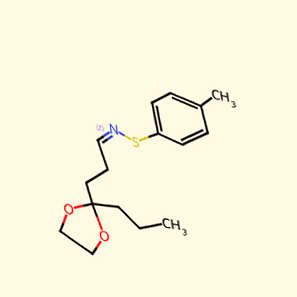 CCCC1(CC/C=N\Sc2ccc(C)cc2)OCCO1